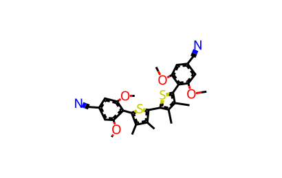 COc1cc(C#N)cc(OC)c1-c1sc(-c2sc(-c3c(OC)cc(C#N)cc3OC)c(C)c2C)c(C)c1C